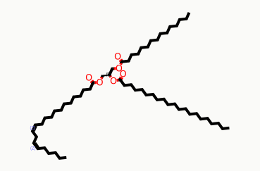 CCCCC/C=C\C/C=C\CCCCCCCCCCCC(=O)OC[C@@H](COC(=O)CCCCCCCCCCCCCC)OC(=O)CCCCCCCCCCCCCCCCCCCC